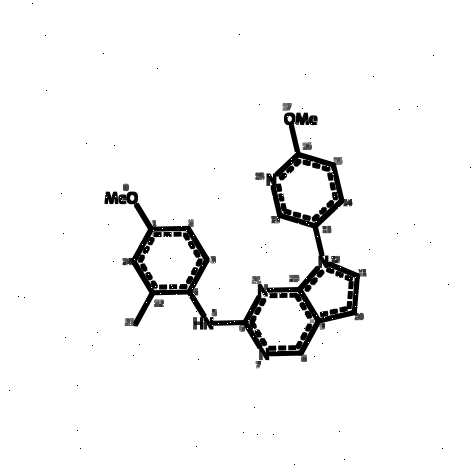 COc1ccc(Nc2ncc3ccn(-c4ccc(OC)nc4)c3n2)c(C)c1